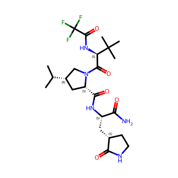 CC(C)[C@H]1C[C@@H](C(=O)N[C@@H](C[C@@H]2CCNC2=O)C(N)=O)N(C(=O)[C@@H](NC(=O)C(F)(F)F)C(C)(C)C)C1